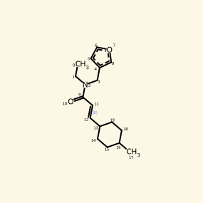 CCN(Cc1ccoc1)C(=O)/C=C/C1CCC(C)CC1